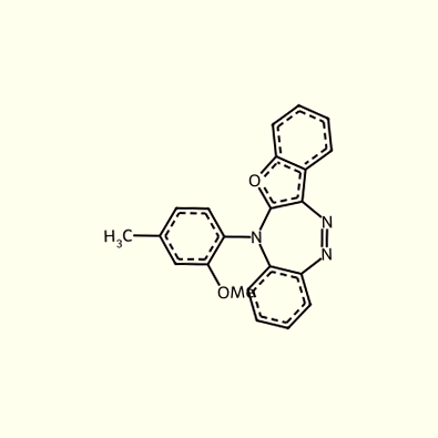 COc1cc(C)ccc1N1c2ccccc2N=Nc2c1oc1ccccc21